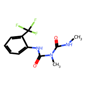 CNC(=O)N(C)C(=O)Nc1ccccc1C(F)(F)F